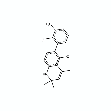 CC1=CC(C)(C)Nc2ccc(-c3cccc(C(F)(F)F)c3C(F)(F)F)c(Cl)c21